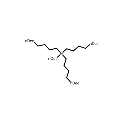 CCCCCCCCCCCCCC[N+](CCCCCCCC)(CCCCCCCCCCCCCC)CCCCCCCCCCCCCC